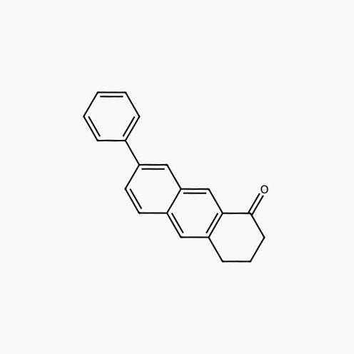 O=C1CCCc2cc3ccc(-c4ccccc4)cc3cc21